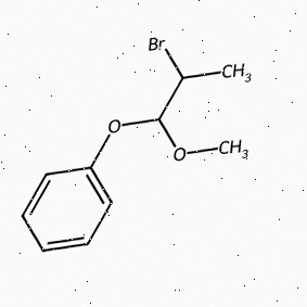 COC(Oc1ccccc1)C(C)Br